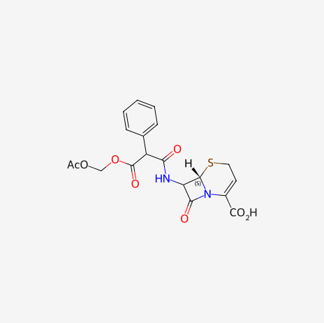 CC(=O)OCOC(=O)C(C(=O)NC1C(=O)N2C(C(=O)O)=CCS[C@@H]12)c1ccccc1